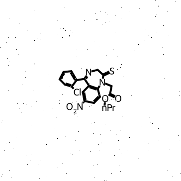 CCCOC(=O)CN1C(=S)CN=C(c2ccccc2Cl)c2cc([N+](=O)[O-])ccc21